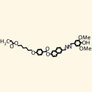 C=CC(=O)OCCCCCCOc1ccc(C(=O)Oc2ccc3cc(/C=N/N=C/c4cc(OC)c(O)c(OC)c4)ccc3c2)cc1